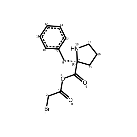 O=C(CBr)OC(=O)[C@]1(Cc2ccccc2)CCCN1